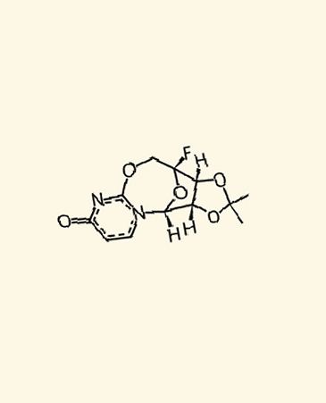 CC1(C)O[C@@H]2[C@H]3O[C@](F)(COc4nc(=O)ccn43)[C@@H]2O1